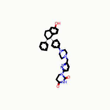 O=C1CCN(c2ccc(CN3CCN(c4ccc([C@H]5c6ccc(O)cc6CC[C@H]5c5ccccc5)cc4)CC3)nn2)C(=O)N1